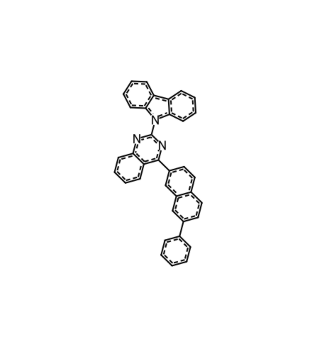 c1ccc(-c2ccc3ccc(-c4nc(-n5c6ccccc6c6ccccc65)nc5ccccc45)cc3c2)cc1